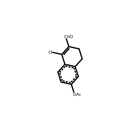 CC(=O)Oc1ccc2c(c1)CCC(C=O)=C2Cl